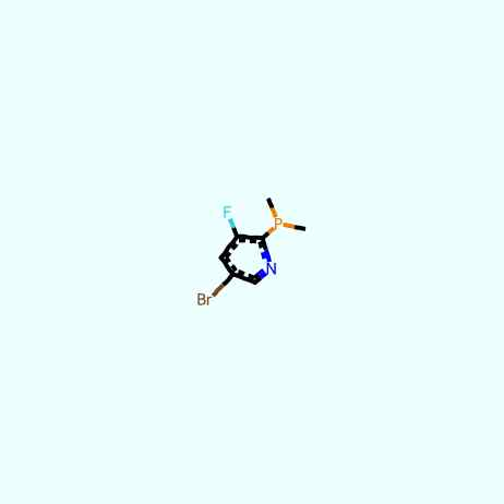 CP(C)c1ncc(Br)cc1F